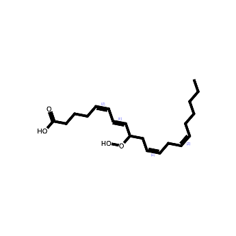 CCCCC/C=C\C/C=C\CC(/C=C/C=C\CCCC(=O)O)OO